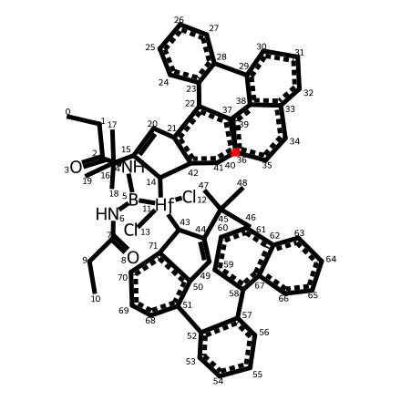 CCC(=O)N[B](NC(=O)CC)[Hf]([Cl])([Cl])([CH]1C(C(C)(C)C)=Cc2c(-c3ccccc3-c3cccc4ccccc34)cccc21)[CH]1C(C(C)(C)C)=Cc2c(-c3ccccc3-c3cccc4ccccc34)cccc21